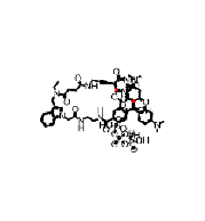 CCN(Cc1cn(CC(=O)NCCNC(=O)c2ccc(-c3c4ccc(=[N+](C)C)cc-4oc4cc(N(C)C)ccc34)c(C(=O)OC)c2)c2ccccc12)C(=O)CCC(=O)NCC#Cc1cn(C2CC(O)C(COP(=O)(O)OP(=O)(O)OP(=O)(O)O)O2)c(=O)[nH]c1=O